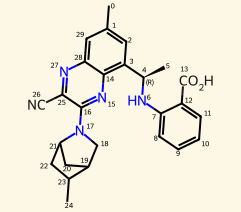 Cc1cc([C@@H](C)Nc2ccccc2C(=O)O)c2nc(N3CC4CC3CC4C)c(C#N)nc2c1